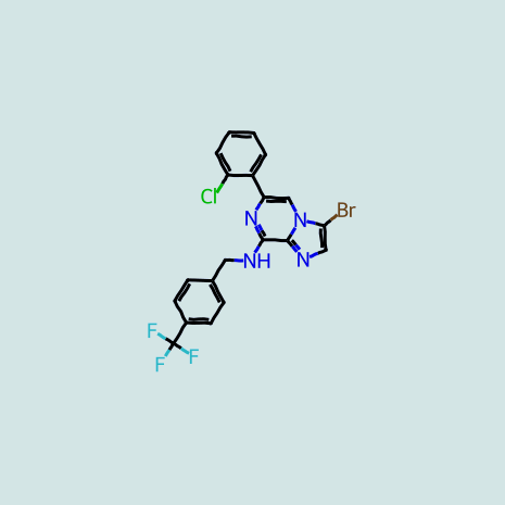 FC(F)(F)c1ccc(CNc2nc(-c3ccccc3Cl)cn3c(Br)cnc23)cc1